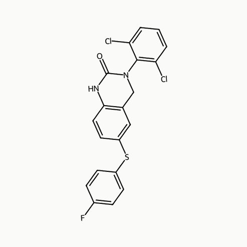 O=C1Nc2ccc(Sc3ccc(F)cc3)cc2CN1c1c(Cl)cccc1Cl